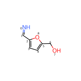 N=Cc1ccc(CO)o1